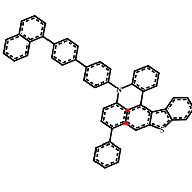 c1ccc(-c2ccc(N(c3ccc(-c4ccc(-c5cccc6ccccc56)cc4)cc3)c3ccccc3-c3cccc4sc5ccccc5c34)cc2)cc1